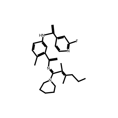 C=C(Nc1ccc(C)c(C(=C)/N=C(\C(C)=C(/C)CCC)N2CCCCC2)c1)c1ccnc(F)c1